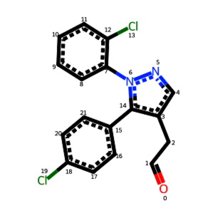 O=CCc1cnn(-c2ccccc2Cl)c1-c1ccc(Cl)cc1